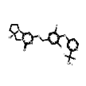 CC(F)(F)c1cc(Oc2c(F)cc(COc3cc4n(c(=O)n3)C[C@@H]3CCCN43)cc2F)ccn1